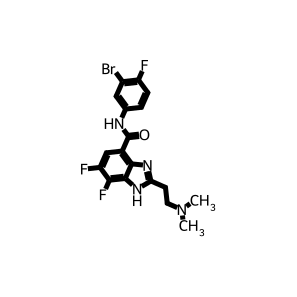 CN(C)CCc1nc2c(C(=O)Nc3ccc(F)c(Br)c3)cc(F)c(F)c2[nH]1